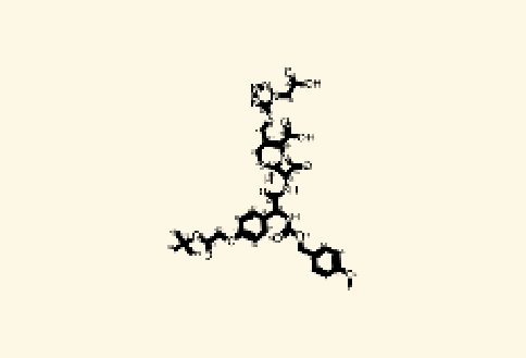 COc1ccc(COC(=O)NC(C(=O)N[C@@H]2C(=O)N3C(C(=O)O)=C(CSc4nnnn4CC(=O)O)CS[C@H]23)c2ccc(OCC(=O)OC(C)(C)C)cc2)cc1